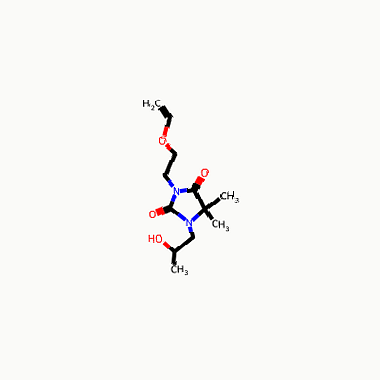 C=COCCN1C(=O)N(CC(C)O)C(C)(C)C1=O